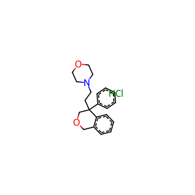 Cl.c1ccc(C2(CCN3CCOCC3)COCc3ccccc32)cc1